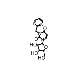 O=c1ccn([C@@H]2O[C@H](CO)C(O)[C@@H]2O)c(=O)n1Cc1ncccn1